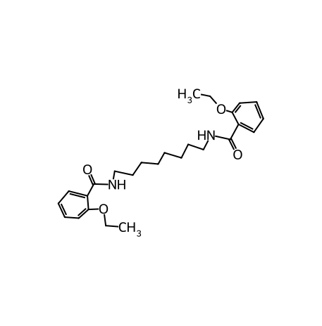 CCOc1ccccc1C(=O)NCCCCCCCCNC(=O)c1ccccc1OCC